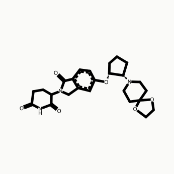 O=C1CCC(N2Cc3cc(O[C@@H]4CCC[C@@H]4N4CCC5(CC4)OCCO5)ccc3C2=O)C(=O)N1